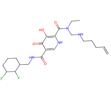 C=CCCCNCN(CC)C(=O)c1[nH]cc(C(=O)NCC2CCCC(Cl)C2F)c(=O)c1O